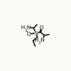 CCC[Si](OC)(C(=O)C(C)N)C(C)N